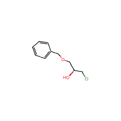 O[C@H](CCl)COCc1ccccc1